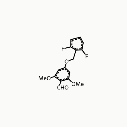 COc1cc(OCc2c(F)cccc2F)cc(OC)c1C=O